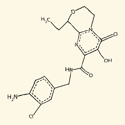 CCC1OCCn2c1nc(C(=O)NCc1ccc(N)c(Cl)c1)c(O)c2=O